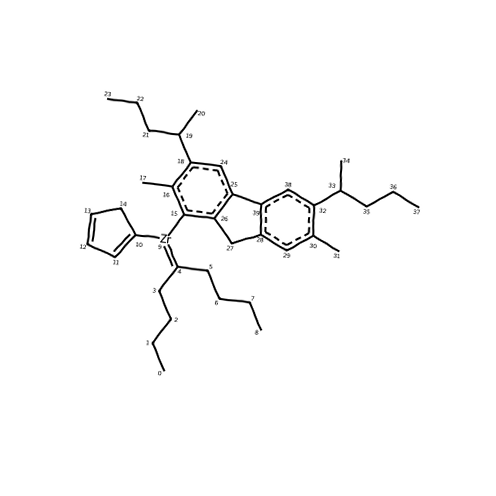 CCCC[C](CCCC)=[Zr]([C]1=CC=CC1)[c]1c(C)c(C(C)CCC)cc2c1Cc1cc(C)c(C(C)CCC)cc1-2